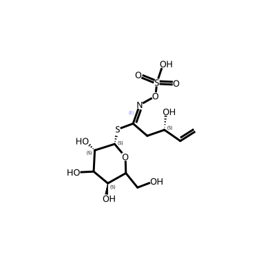 C=C[C@@H](O)C/C(=N\OS(=O)(=O)O)S[C@@H]1OC(CO)[C@@H](O)C(O)[C@@H]1O